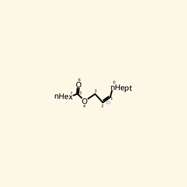 CCCCCCC/C=C\COC(=O)CCCCCC